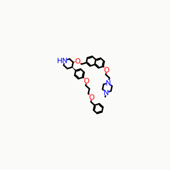 CN1CCN(CCOc2ccc3ccc(CO[C@H]4CNCC[C@@H]4c4ccc(OCCCOCc5ccccc5)cc4)cc3c2)CC1